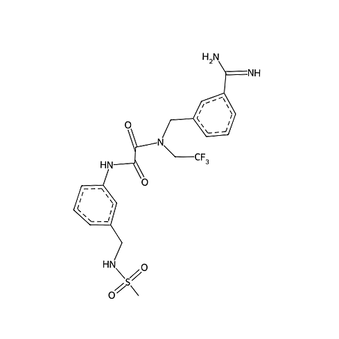 CS(=O)(=O)NCc1cccc(NC(=O)C(=O)N(Cc2cccc(C(=N)N)c2)CC(F)(F)F)c1